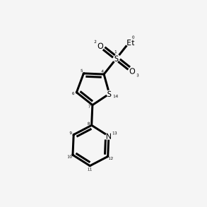 CCS(=O)(=O)c1ccc(-c2ccccn2)s1